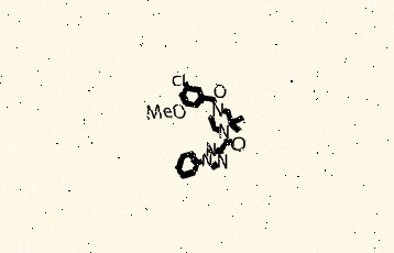 COc1cc(Cl)cc(C(=O)N2CCN(C(=O)c3ncn(-c4ccccc4)n3)C(C)(C)C2)c1